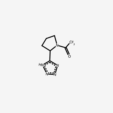 O=C(N1CCCC1c1nnn[nH]1)C(F)(F)F